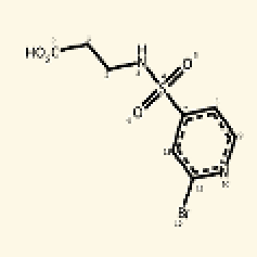 O=C(O)CCNS(=O)(=O)c1ccnc(Br)c1